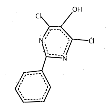 Oc1c(Cl)nc(-c2ccccc2)nc1Cl